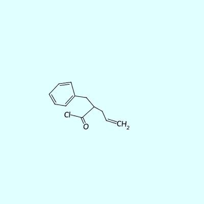 C=CCC(Cc1ccccc1)C(=O)Cl